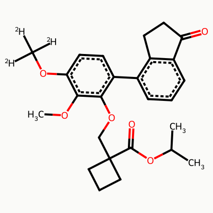 [2H]C([2H])([2H])Oc1ccc(-c2cccc3c2CCC3=O)c(OCC2(C(=O)OC(C)C)CCC2)c1OC